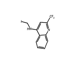 FC(F)(F)c1cc(NCI)c2ccccc2n1